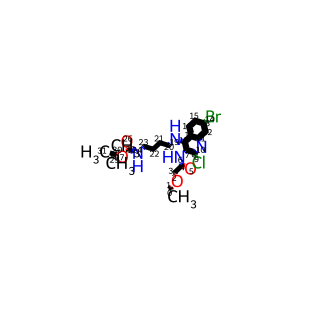 CCOCC(=O)Nc1c(Cl)nc2cc(Br)ccc2c1NCCCCNC(=O)OC(C)(C)C